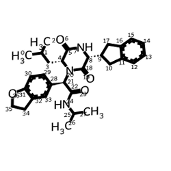 CC(C)C[C@@H]1C(=O)N[C@H](C2Cc3ccccc3C2)C(=O)N1[C@@H](C(=O)NC(C)C)c1ccc2c(c1)CCO2